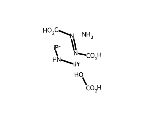 CC(C)NC(C)C.N.O=C(O)N=NC(=O)O.O=C(O)O